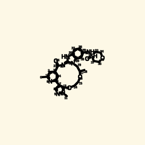 Cc1cc2cc(n1)-c1cnn(C)c1OCCOC(C)CN1/C(=N/C2=O)Nc2ccc(N[SH]3(=O)CCOCC3)cc21